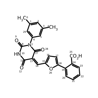 Cc1cc(C)cc(N2C(=O)NC(=O)C(=Cc3ccc(-c4ccccc4C(=O)O)o3)C2=O)c1